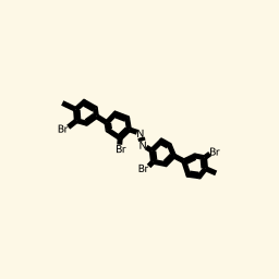 Cc1ccc(-c2ccc(N=Nc3ccc(-c4ccc(C)c(Br)c4)cc3Br)c(Br)c2)cc1Br